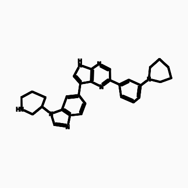 c1cc(-c2cnc3[nH]cc(-c4ccc5ncn(C6CCCNC6)c5c4)c3n2)cc(N2CCCCC2)c1